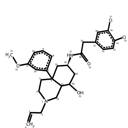 C=CCN1CCC2(c3cccc(OC)c3)C[C@@H](NC(=O)Cc3ccc(Cl)c(Cl)c3)CC(O)C2C1